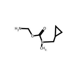 CN(CC1CC1)C(=O)OCN